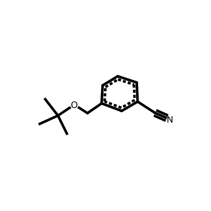 CC(C)(C)OCc1cccc(C#N)c1